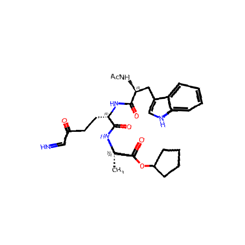 CC(=O)N[C@@H](Cc1c[nH]c2ccccc12)C(=O)N[C@@H](CCC(=O)C=N)C(=O)N[C@@H](C)C(=O)OC1CCCC1